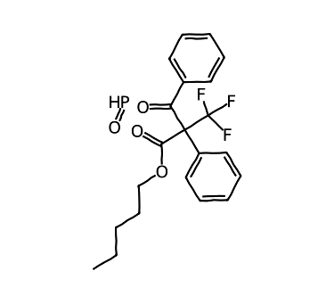 CCCCCOC(=O)C(C(=O)c1ccccc1)(c1ccccc1)C(F)(F)F.O=P